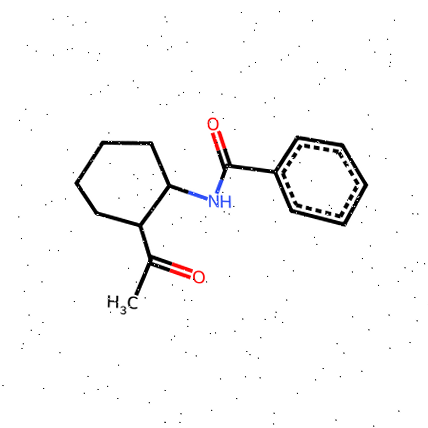 CC(=O)C1CCCCC1NC(=O)c1ccccc1